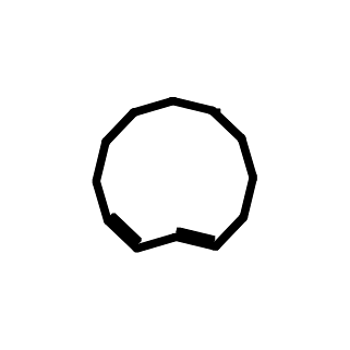 [CH]1CCC/C=C/C=C\CCCC1